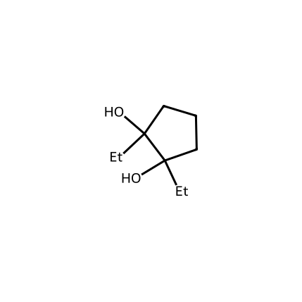 CCC1(O)CCCC1(O)CC